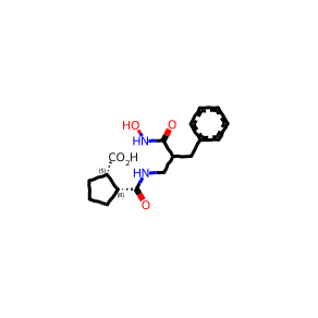 O=C(NO)C(CNC(=O)[C@@H]1CCC[C@@H]1C(=O)O)Cc1ccccc1